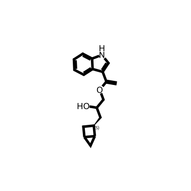 C=C(OCC(O)C[C@@H]1CC2CC21)c1c[nH]c2ccccc12